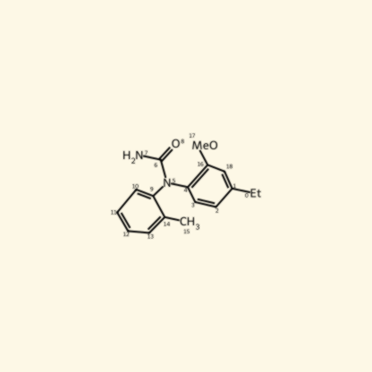 [CH2]Cc1ccc(N(C(N)=O)c2ccccc2C)c(OC)c1